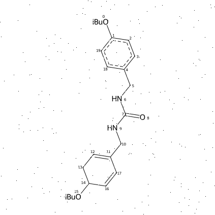 CC(C)COc1ccc(CNC(=O)NCC2=CCC(OCC(C)C)C=C2)cc1